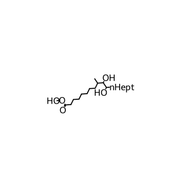 CCCCCCCC(O)C(O)C(C)CCCCCCCC(=O)OO